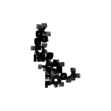 Cc1[nH]c2c(-c3cc(F)ccc3OCC3CC3)ncnc2c1C(=O)NC1CCN(OC(=O)OC(C)(C)C)CC1